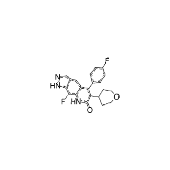 O=c1[nH]c2c(F)c3[nH]ncc3cc2c(-c2ccc(F)cc2)c1C1CCOCC1